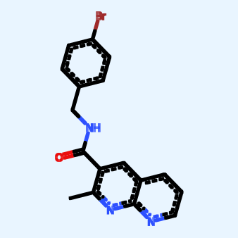 Cc1nc2ncccc2cc1C(=O)NCc1ccc(Br)cc1